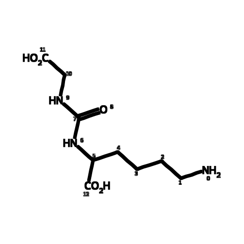 NCCCCC(NC(=O)NCC(=O)O)C(=O)O